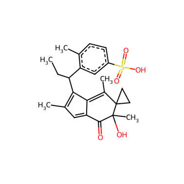 CCC(C1=C(C)C=C2C(=O)C(C)(O)C3(CC3)C(C)=C21)c1cc(S(=O)(=O)O)ccc1C